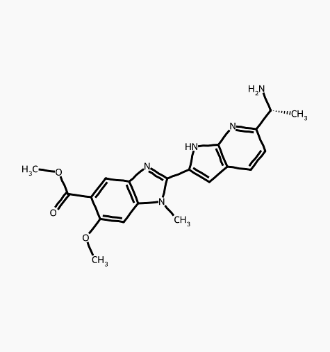 COC(=O)c1cc2nc(-c3cc4ccc([C@@H](C)N)nc4[nH]3)n(C)c2cc1OC